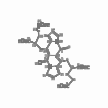 C=c1c2c(CC(CCCCCCCCCC)CCCCCCCCCCCC)c3cccn3c(=O)c2c(CC(CCCCCCCCCC)CCCCCCCCCCCC)c2cccn12